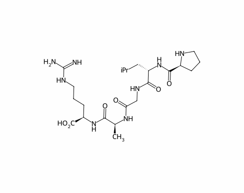 CC(C)C[C@H](NC(=O)[C@@H]1CCCN1)C(=O)NCC(=O)N[C@@H](C)C(=O)N[C@H](CCCNC(=N)N)C(=O)O